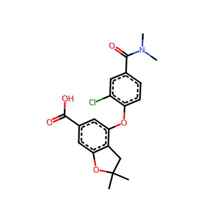 CN(C)C(=O)c1ccc(Oc2cc(C(=O)O)cc3c2CC(C)(C)O3)c(Cl)c1